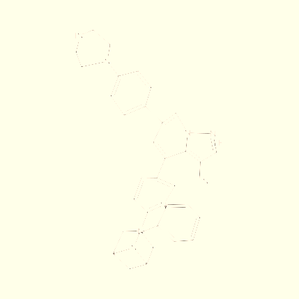 Cl.N#Cc1cnn2cc(-c3ccc(N4CCNCC4)cc3)cc(-c3ccc(N4CC5CC(C4)N5Cc4ccccc4)nc3)c12